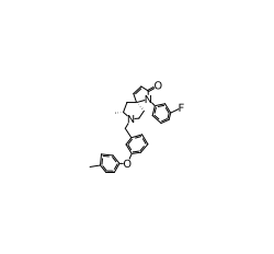 Cc1ccc(Oc2cccc(CN3CC[C@@]4(C=CC(=O)N4c4cccc(F)c4)C[C@H]3C)c2)cc1